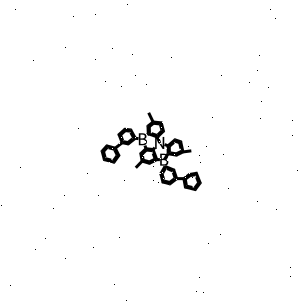 Cc1ccc2c(c1)B(c1cccc(-c3ccccc3)c1)c1cc(C)cc3c1N2c1ccc(C)cc1B3c1cccc(-c2ccccc2)c1